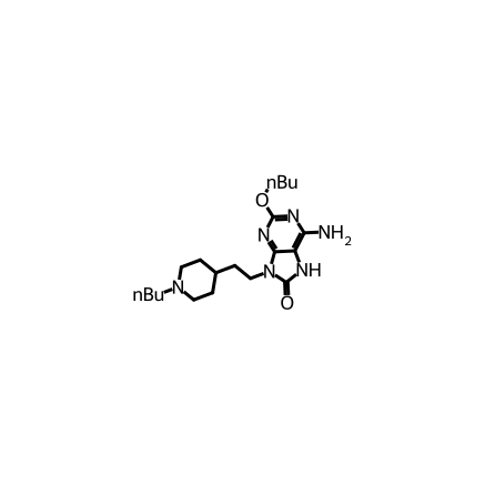 CCCCOc1nc(N)c2[nH]c(=O)n(CCC3CCN(CCCC)CC3)c2n1